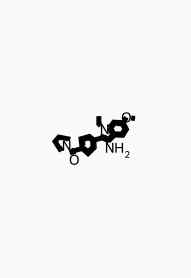 CCn1c(-c2ccc(C(=O)N3CCCC3)cc2)c(N)c2ccc(OC)cc21